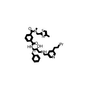 Cc1csc(CN(C)C(=O)c2cccc(C(=O)N[C@@H](Cc3ccccc3)[C@H](O)CNCc3cncc(CCC(C)C)c3)c2)n1